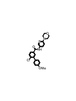 COc1ccc(-c2cc(C(=O)Nc3ccc(N4CCOCC4)nc3)ccc2Cl)cc1